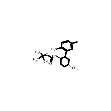 C[C@@H]1CC[C@@H](NC(=O)OC(C)(C)C)C(c2cc(I)ccc2N)C1